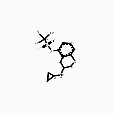 O=S(=O)(Oc1cccc2c1CC(NC1CC1)CO2)C(F)(F)F